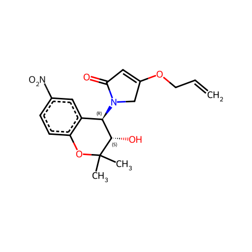 C=CCOC1=CC(=O)N([C@@H]2c3cc([N+](=O)[O-])ccc3OC(C)(C)[C@H]2O)C1